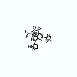 Cn1ncnc1-c1cc(C2(S(C)(=N)=O)CC2)c2c(n1)c(-c1ccn[nH]1)nn2CC(F)F